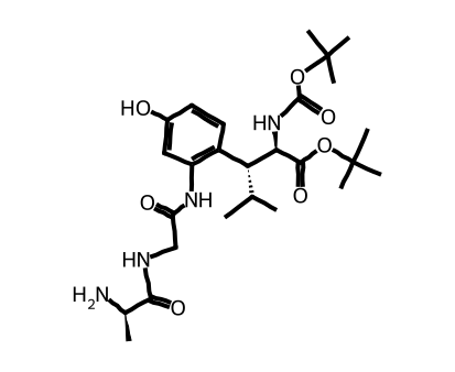 CC(C)[C@H](c1ccc(O)cc1NC(=O)CNC(=O)[C@@H](C)N)[C@@H](NC(=O)OC(C)(C)C)C(=O)OC(C)(C)C